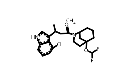 C.CC(CC(=O)N1CCC2(OC(F)F)CCCC1C2)c1c[nH]c2cccc(Cl)c12